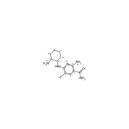 NC(=O)c1cc(F)c(NC2CCCCC2N)nc1N